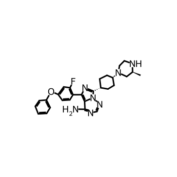 C[C@H]1CN([C@H]2CC[C@@H](c3nc(-c4ccc(Oc5ccccc5)cc4F)c4c(N)ncnn43)CC2)CCN1